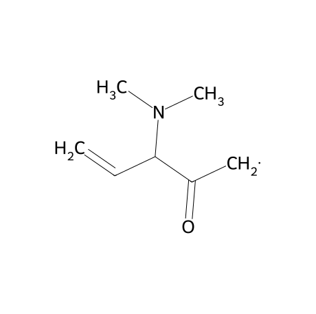 [CH2]C(=O)C(C=C)N(C)C